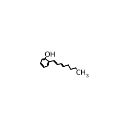 CCCCC=CC=Cc1ccccc1O